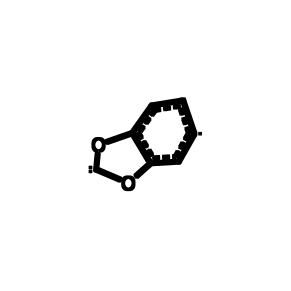 [C]1Oc2c[c]ccc2O1